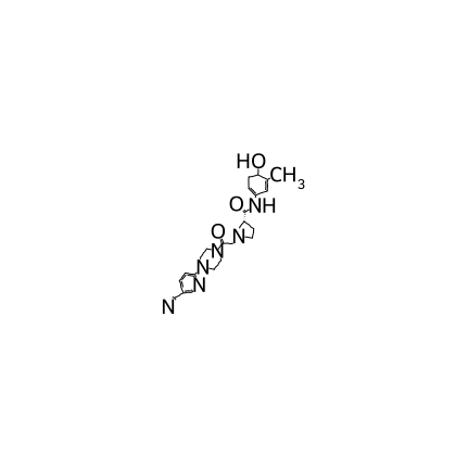 CC1=CC(NC(=O)[C@@H]2CCN(CC(=O)N3CCN(c4ccc(C#N)cn4)CC3)C2)=CCC1O